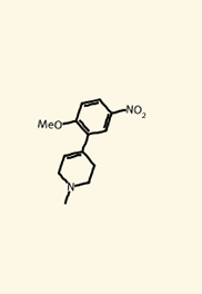 COc1ccc([N+](=O)[O-])cc1C1=CCN(C)CC1